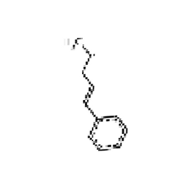 C[CH]CC=Cc1ccccc1